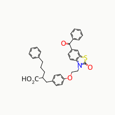 O=C(c1ccccc1)c1ccc2c(c1)sc(=O)n2CCOc1ccc(CC(CCCc2ccccc2)C(=O)O)cc1